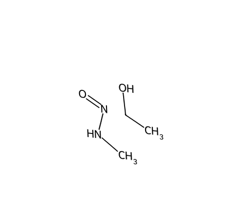 CCO.CNN=O